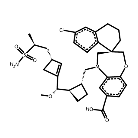 CO[C@H](C1=C[C@@H](C[C@H](C)S(N)(=O)=O)C1)[C@@H]1CC[C@H]1CN1C[C@@]2(CCCc3cc(Cl)ccc32)COc2ccc(C(=O)O)cc21